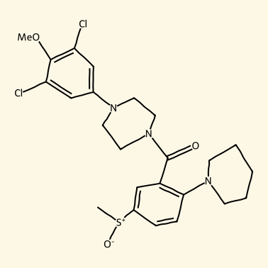 COc1c(Cl)cc(N2CCN(C(=O)c3cc([S+](C)[O-])ccc3N3CCCCC3)CC2)cc1Cl